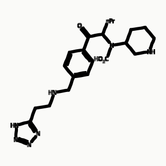 CCCC(C(=O)c1ccc(CNCCc2nnn[nH]2)cc1)N(C(=O)O)C1CCCNC1